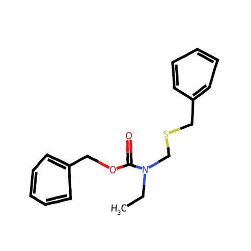 CCN(CSCc1ccccc1)C(=O)OCc1ccccc1